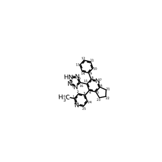 Cc1cc(-c2c3c(nc(-c4ccccc4)c2-c2nn[nH]n2)CCC3)ccn1